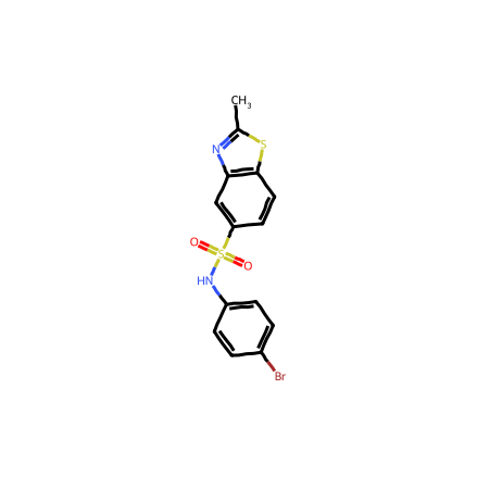 Cc1nc2cc(S(=O)(=O)Nc3ccc(Br)cc3)ccc2s1